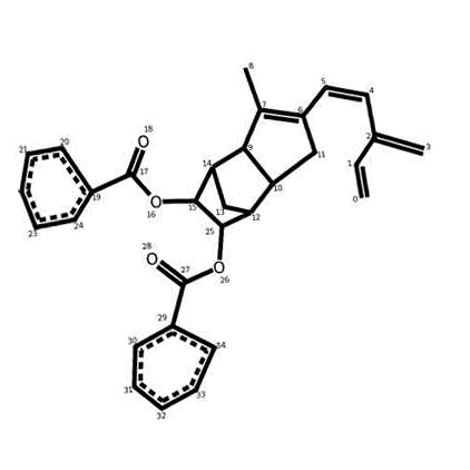 C=CC(=C)/C=C\C1=C(C)C2C(C1)C1CC2C(OC(=O)c2ccccc2)C1OC(=O)c1ccccc1